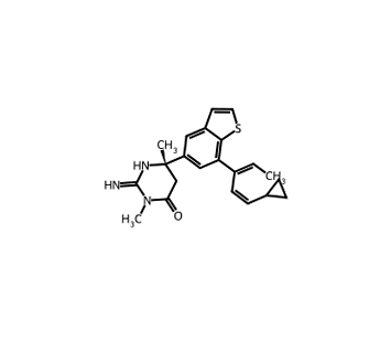 C/C=C(\C=C/C1CC1)c1cc([C@]2(C)CC(=O)N(C)C(=N)N2)cc2ccsc12